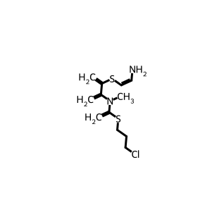 C=C(S/C=C\N)C(=C)N(C)C(=C)SCCCCl